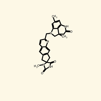 Cc1cc2c3c(c1)N(Cc1ccc4cc5c(cc4n1)CC1(C5)C(=O)NC(=O)N1C)CC3(C)CC(=O)N2